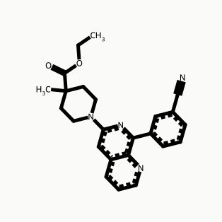 CCOC(=O)C1(C)CCN(c2cc3cccnc3c(-c3cccc(C#N)c3)n2)CC1